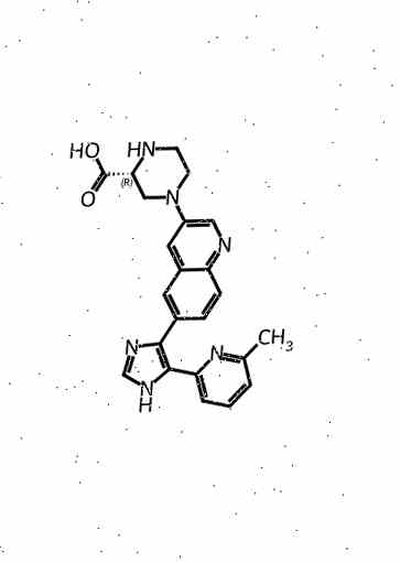 Cc1cccc(-c2[nH]cnc2-c2ccc3ncc(N4CCN[C@@H](C(=O)O)C4)cc3c2)n1